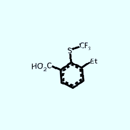 CCc1cccc(C(=O)O)c1SC(F)(F)F